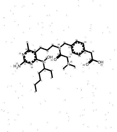 CCCCC(CC)N(O)c1nc(N)nc(C)c1CCCN(Cc1ccc(CC(=O)O)cc1)C(=O)CN(C)C